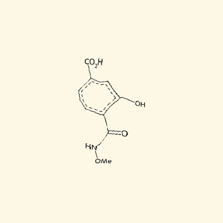 CONC(=O)c1ccc(C(=O)O)cc1O